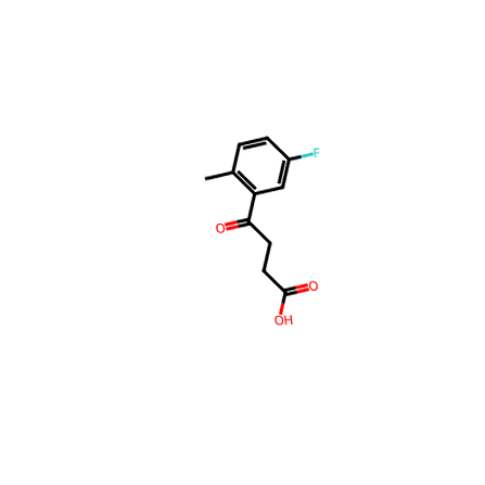 Cc1ccc(F)cc1C(=O)CCC(=O)O